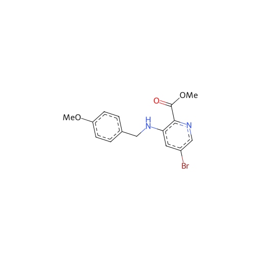 COC(=O)c1ncc(Br)cc1NCc1ccc(OC)cc1